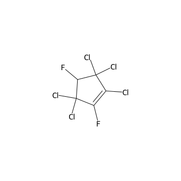 FC1=C(Cl)C(Cl)(Cl)C(F)C1(Cl)Cl